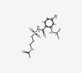 CC(=O)OCCCS(=O)(=O)NC(=O)c1ccc(Br)cc1OC(C)C